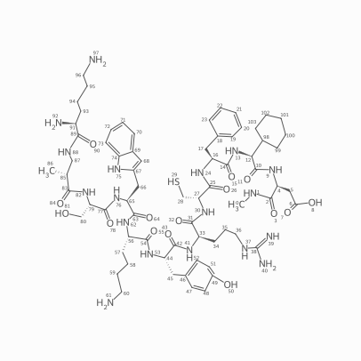 CNC(=O)[C@H](CC(=O)O)NC(=O)[C@@H](NC(=O)[C@H](Cc1ccccc1)NC(=O)[C@@H](CS)NC(=O)[C@@H](CCCNC(=N)N)NC(=O)[C@H](Cc1ccc(O)cc1)NC(=O)[C@H](CCCCN)NC(=O)[C@H](Cc1cc2ccccc2[nH]1)NC(=O)[C@H](CO)NC(=O)[C@H](C)CNC(=O)[C@@H](N)CCCCN)C1CCCCC1